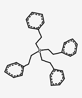 c1ccc(CC[B-](CCc2ccccc2)(CCc2ccccc2)CCc2ccccc2)cc1